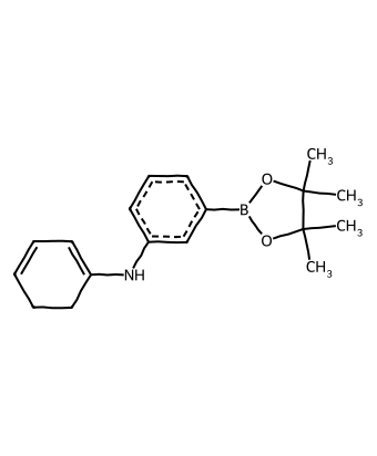 CC1(C)OB(c2cccc(NC3=CC=CCC3)c2)OC1(C)C